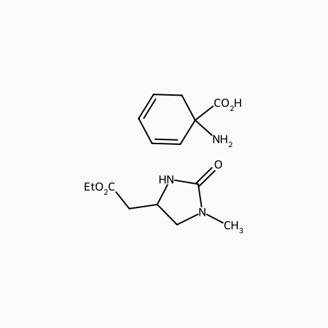 CCOC(=O)CC1CN(C)C(=O)N1.NC1(C(=O)O)C=CC=CC1